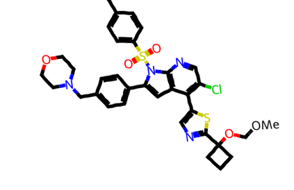 COCOC1(c2ncc(-c3c(Cl)cnc4c3cc(-c3ccc(CN5CCOCC5)cc3)n4S(=O)(=O)c3ccc(C)cc3)s2)CCC1